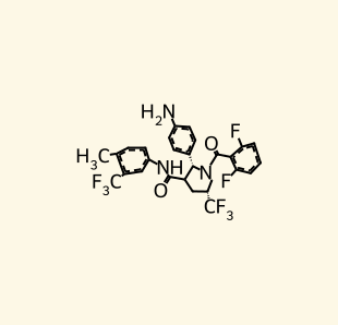 Cc1ccc(NC(=O)C2C[C@@H](C(F)(F)F)CN(C(=O)c3c(F)cccc3F)[C@H]2c2ccc(N)cc2)cc1C(F)(F)F